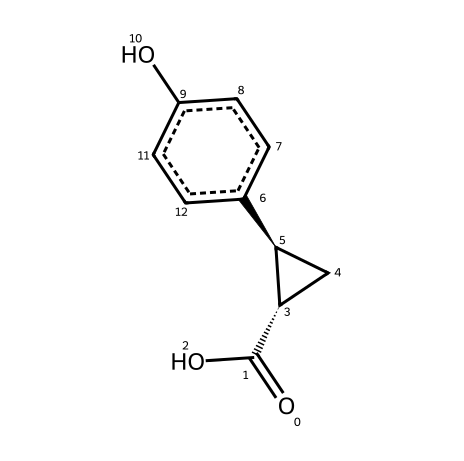 O=C(O)[C@H]1C[C@@H]1c1ccc(O)cc1